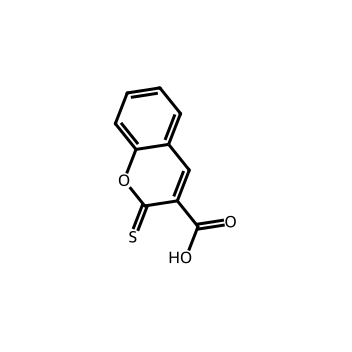 O=C(O)c1cc2ccccc2oc1=S